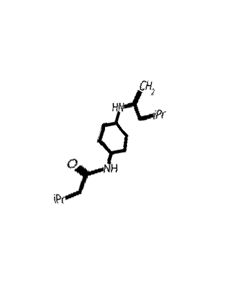 C=C(CC(C)C)NC1CCC(NC(=O)CC(C)C)CC1